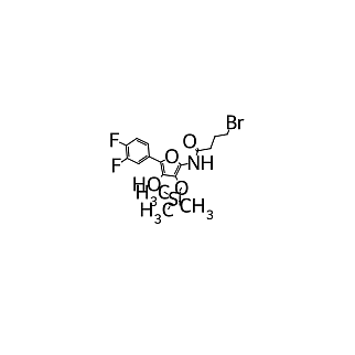 C[Si](C)(C)Oc1c(NC(=O)CCCBr)oc(-c2ccc(F)c(F)c2)c1O